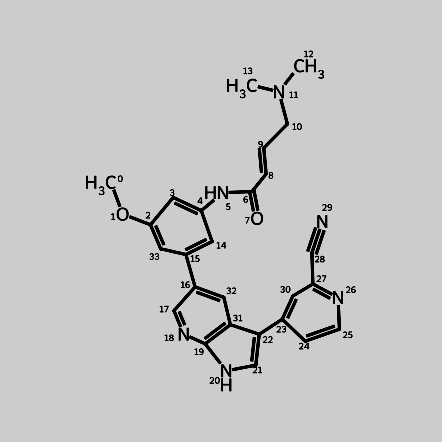 COc1cc(NC(=O)/C=C/CN(C)C)cc(-c2cnc3[nH]cc(-c4ccnc(C#N)c4)c3c2)c1